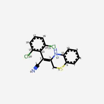 N#C/C(=C1\CSc2ccccc2N1)c1c(Cl)cccc1Cl